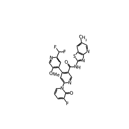 COc1cnc(C(F)F)cc1-c1cc(-n2cccc(F)c2=O)ncc1C(=O)Nc1nc2ncc(C)cc2s1